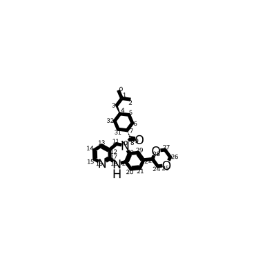 CC(C)C[C@H]1CC[C@H](C(=O)N2Cc3cccnc3Nc3ccc(C4COCCO4)cc32)CC1